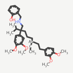 CC[As](CCCC(CNCc1ccccc1O)(c1ccc(OC)c(OC)c1)C(C)C)CCc1ccc(OC)c(OC)c1